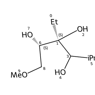 CC[C@](O)(C(O)C(C)C)[C@@H](O)COC